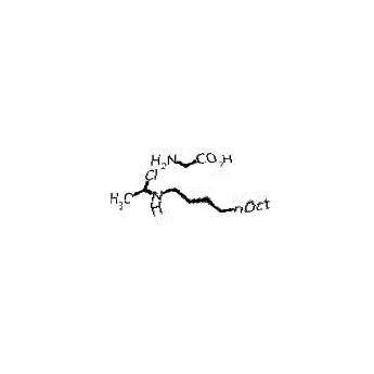 CCCCCCCCCCCCNC(C)Cl.NCC(=O)O